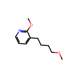 COCCCCc1cccnc1OC